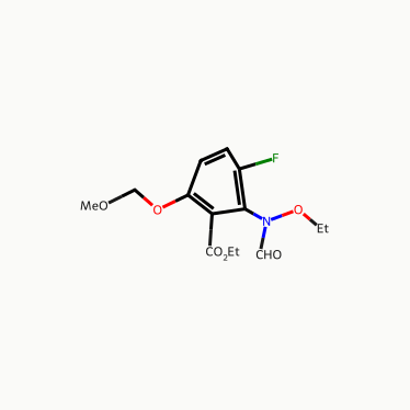 CCOC(=O)c1c(OCOC)ccc(F)c1N(C=O)OCC